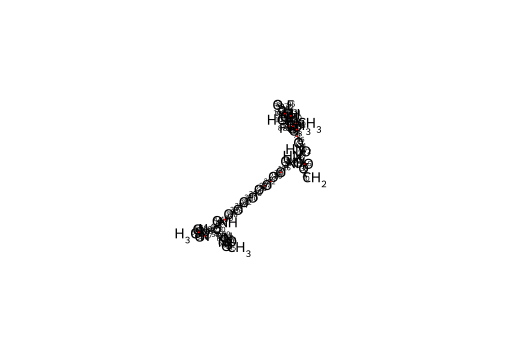 C=CCOC(=O)CC[C@H](NC(=O)CNC(=O)CCOCCOCCOCCOCCOCCOCCOCCOCCNC(=O)c1cc(-c2cnc(S(C)(=O)=O)nc2)cc(-c2cnc(S(C)(=O)=O)nc2)c1)C(=O)NCOCCCC(=O)O[C@]1(C(=O)SCF)[C@H](C)C[C@H]2[C@@H]3C[C@H](F)C4=CC(=O)C=C[C@]4(C)[C@@]3(F)[C@@H](O)C[C@@]21C